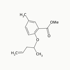 C=CCC(C)Oc1ccc(C)cc1C(=O)OC